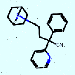 N#CC(CCN1CC2CCC(CC2)C1)(c1ccccc1)c1ccccn1